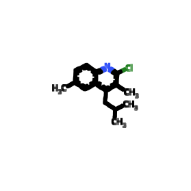 Cc1ccc2nc(Cl)c(C)c(CC(C)C)c2c1